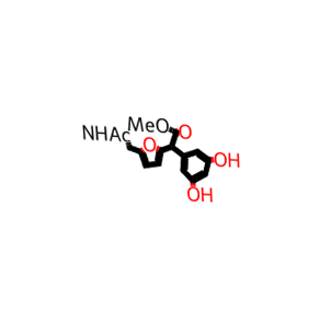 COC(=O)C(c1cc(O)cc(O)c1)c1ccc(CNC(C)=O)o1